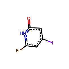 O=c1cc(I)cc(Br)[nH]1